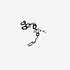 Cc1ccc(OCCN2CCOCC2)cc1NC(=O)c1ccc(Nc2nc(-c3ccccc3)c3ccccc3n2)cc1